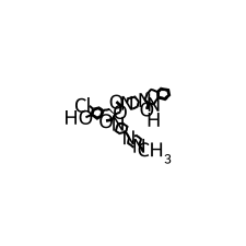 CN1CCN(C2CCN(C(=O)[C@@H](Cc3ccc(O)c(Cl)c3)OC(=O)N3CCC(N4CCc5ccccc5NC4=O)CC3)CC2)CC1